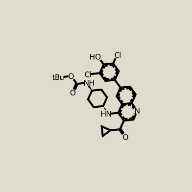 CC(C)(C)OC(=O)N[C@H]1CC[C@H](Nc2c(C(=O)C3CC3)cnc3ccc(-c4cc(Cl)c(O)c(Cl)c4)cc23)CC1